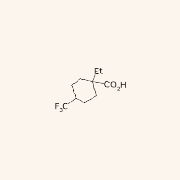 CCC1(C(=O)O)CCC(C(F)(F)F)CC1